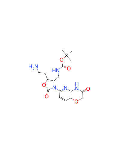 CC(C)(C)OC(=O)NCC1C(CCN)OC(=O)N1c1ccc2c(n1)NC(=O)CO2